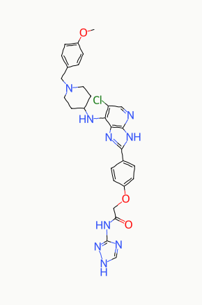 COc1ccc(CN2CCC(Nc3c(Cl)cnc4[nH]c(-c5ccc(OCC(=O)Nc6nc[nH]n6)cc5)nc34)CC2)cc1